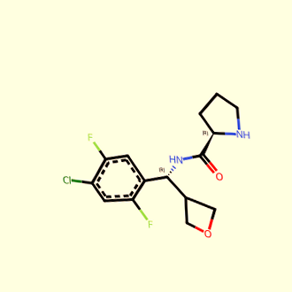 O=C(N[C@@H](c1cc(F)c(Cl)cc1F)C1COC1)[C@H]1CCCN1